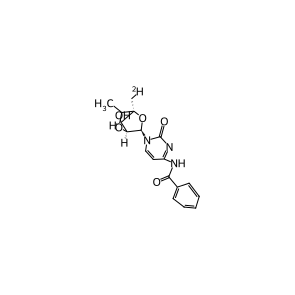 [2H]C[C@@]12O[C@@H](n3ccc(NC(=O)c4ccccc4)nc3=O)[C@@H](OC1C)[C@H]2O